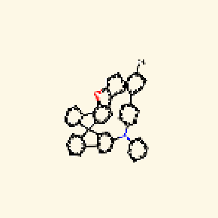 Cc1ccc(-c2ccc(N(c3ccccc3)c3ccc4c(c3)C3(c5ccccc5-4)c4ccccc4-c4c3ccc3c4oc4ccccc43)cc2)cc1